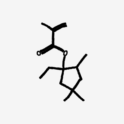 C=C(C)C(=O)OC1(CC)CC(C)(C)CC1C